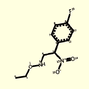 CCONCC(c1ccc(F)cc1)[N+](=O)[O-]